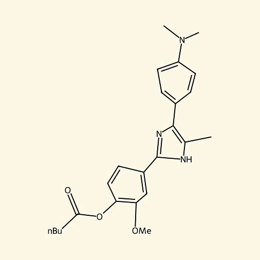 CCCCC(=O)Oc1ccc(-c2nc(-c3ccc(N(C)C)cc3)c(C)[nH]2)cc1OC